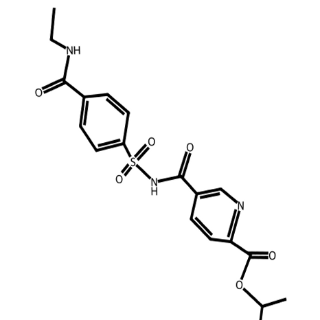 CCNC(=O)c1ccc(S(=O)(=O)NC(=O)c2ccc(C(=O)OC(C)C)nc2)cc1